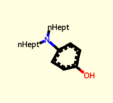 CCCCCCCN(CCCCCCC)c1ccc(O)cc1